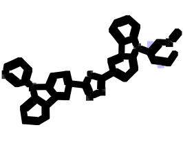 C=N/C=C(\C=C/C)n1c2ccccc2c2cc(-c3nnc(-c4ccc5c(c4)c4ccccc4n5-c4cccnc4)s3)ccc21